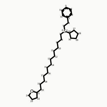 c1ccc(CC[S+](CCCCCCCCCCCCCCC2CCCO2)C2CCCC2)cc1